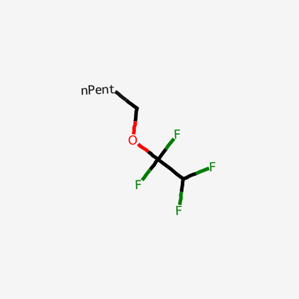 CCCCCCOC(F)(F)C(F)F